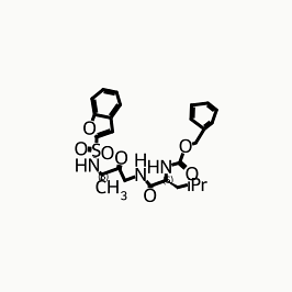 CC(C)C[C@H](NC(=O)OCc1ccccc1)C(=O)NCC(=O)[C@H](C)NS(=O)(=O)c1cc2ccccc2o1